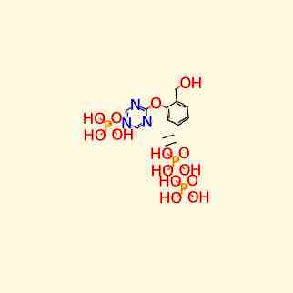 CC.CC.O=P(O)(O)O.O=P(O)(O)O.O=P(O)(O)O.OCc1ccccc1Oc1ncncn1